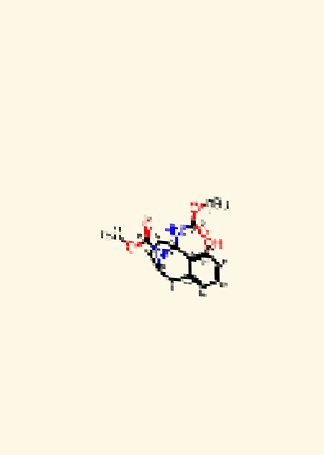 CCCCOC(=O)NC12CCC(Cc3cccc(O)c31)N2C(=O)OC(C)(C)C